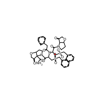 NC(=O)C12C(=O)COC1CCN2C(=O)C(CS(=O)(=O)Cc1ccccc1)N(C(=O)Cc1ccccc1)C(CS(=O)(=O)Cc1ccccc1)C(=O)N1CCC2OCC(=O)C21